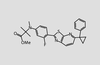 COC(=O)C(C)(C)N(C)c1ccc(-c2nc3ccc(C4(c5ccccc5)CC4)nc3s2)c(F)c1